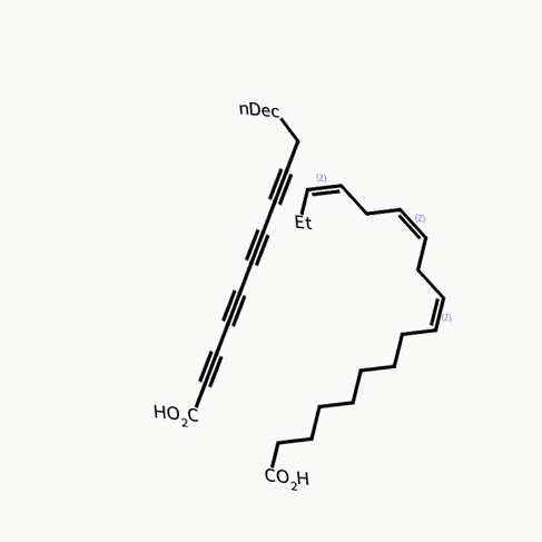 CC/C=C\C/C=C\C/C=C\CCCCCCCC(=O)O.CCCCCCCCCCCC#CC#CC#CC#CC(=O)O